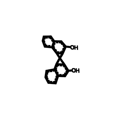 Oc1cc2ccccc2c2c1C21c2c(O)cc3ccccc3c21